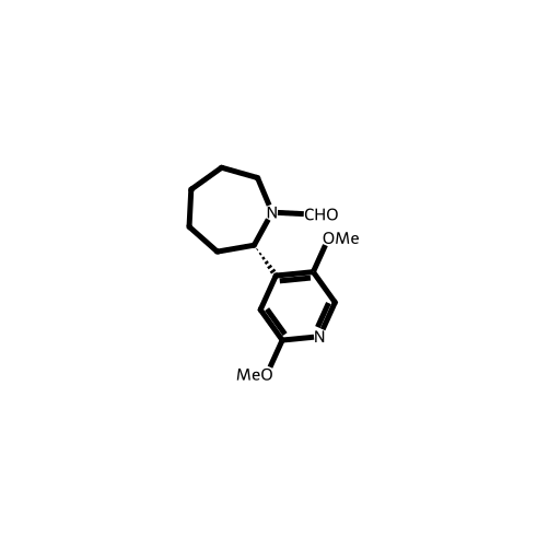 COc1cc([C@@H]2CCCCCN2C=O)c(OC)cn1